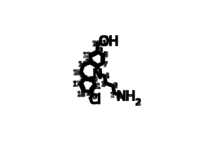 NCCCCN1c2ccc(CO)cc2CCc2ccc(Cl)cc21